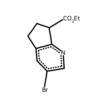 CCOC(=O)C1CCc2cc(Br)cnc21